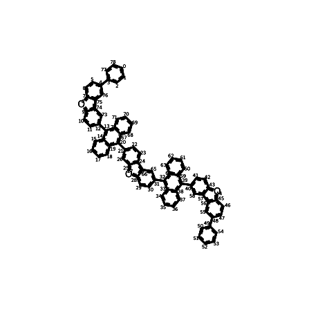 c1ccc(-c2ccc3oc4ccc(-c5c6ccccc6c(-c6ccc7c(c6)oc6ccc(-c8c9ccccc9c(-c9ccc%10oc%11ccc(-c%12ccccc%12)cc%11c%10c9)c9ccccc89)cc67)c6ccccc56)cc4c3c2)cc1